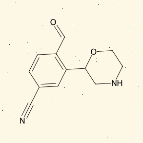 N#Cc1ccc(C=O)c(C2CNCCO2)c1